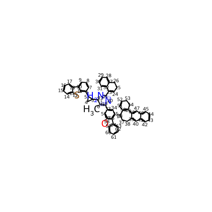 C/C(CC1CC1c1cccc2c1sc1ccccc12)=C(/N=C(\N)C1=CCCc2ccccc21)c1cc([C@H]2CCc3cc4ccccc4cc3C3=C2C=CCC3)c2c(c1)oc1ccccc12